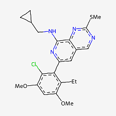 CCc1c(OC)cc(OC)c(Cl)c1-c1cc2cnc(SC)nc2c(NCC2CC2)n1